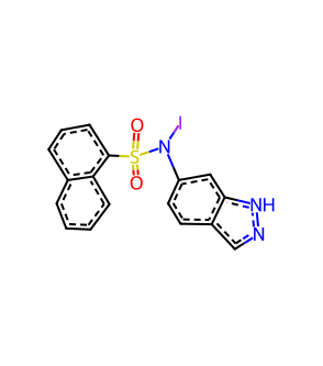 O=S(=O)(c1cccc2ccccc12)N(I)c1ccc2cn[nH]c2c1